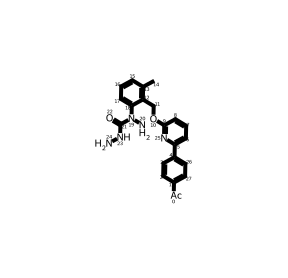 CC(=O)c1ccc(-c2cccc(OCc3c(C)cccc3N(N)C(=O)NN)n2)cc1